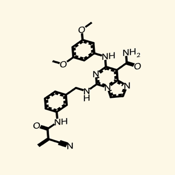 C=C(C#N)C(=O)Nc1cccc(CNc2nc(Nc3cc(OC)cc(OC)c3)c(C(N)=O)c3nccn23)c1